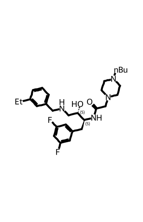 CCCCN1CCN(CC(=O)N[C@@H](Cc2cc(F)cc(F)c2)[C@@H](O)CNCc2cccc(CC)c2)CC1